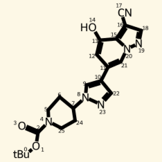 CC(C)(C)OC(=O)N1CCC(n2cc(-c3cc(O)c4c(C#N)cnn4c3)cn2)CC1